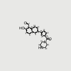 O=Cc1c(O)ccc2cc(-c3ccc(C(=O)N4CCNCC4)s3)ccc12